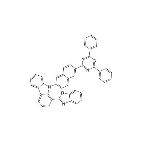 c1ccc(-c2nc(-c3ccccc3)nc(-c3ccc4cc(-n5c6ccccc6c6cccc(-c7nc8ccccc8o7)c65)ccc4c3)n2)cc1